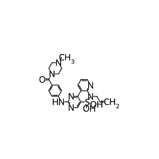 C=CCN1c2ncccc2-c2nc(Nc3ccc(C(=O)N4CCN(C)CC4)cc3)ncc2S1(O)O